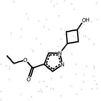 CCOC(=O)c1cnn(C2CC(O)C2)c1